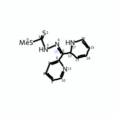 CSC(=S)N/N=C(\c1ccccn1)C1C=CC=CN1